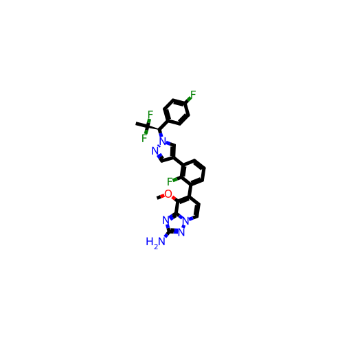 COc1c(-c2cccc(-c3cnn([C@H](c4ccc(F)cc4)C(C)(F)F)c3)c2F)ccn2nc(N)nc12